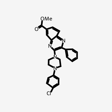 COC(=O)c1ccc2nc(-c3ccccc3)c(N3CCN(c4ccc(Cl)cc4)CC3)nc2c1